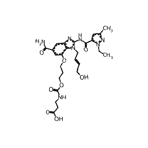 CCn1nc(C)cc1C(=O)Nc1nc2cc(C(N)=O)cc(OCCCOC(=O)NCCC(=O)O)c2n1C/C=C/CO